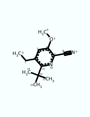 CCc1cc(OC)c(C#N)nc1C(C)(C)C